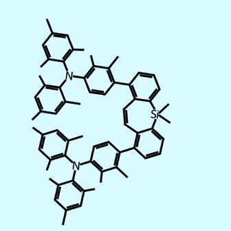 Cc1cc(C)c(N(c2ccc(-c3cccc4c3C=Cc3c(-c5ccc(N(c6c(C)cc(C)cc6C)c6c(C)cc(C)cc6C)c(C)c5C)cccc3[Si]4(C)C)c(C)c2C)c2c(C)cc(C)cc2C)c(C)c1